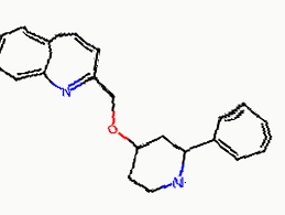 c1ccc(C2CC(OCc3ccc4ccccc4n3)CC[N]2)cc1